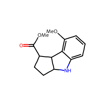 COC(=O)C1CCC2Nc3cccc(OC)c3C21